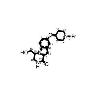 CC(C)N1CCC(Oc2ccc3c(c2)cc2n3C(CO)CNC2=O)CC1